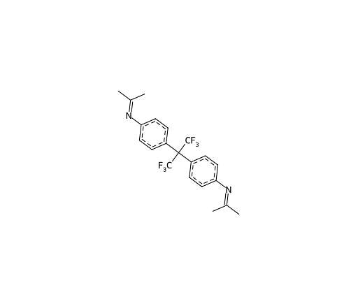 CC(C)=Nc1ccc(C(c2ccc(N=C(C)C)cc2)(C(F)(F)F)C(F)(F)F)cc1